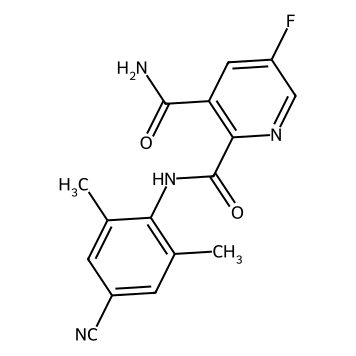 Cc1cc(C#N)cc(C)c1NC(=O)c1ncc(F)cc1C(N)=O